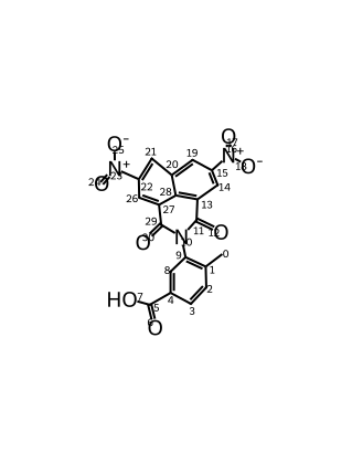 Cc1ccc(C(=O)O)cc1N1C(=O)c2cc([N+](=O)[O-])cc3cc([N+](=O)[O-])cc(c23)C1=O